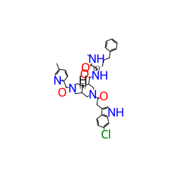 CNC(=O)[C@H](CCCc1ccccc1)NC(=O)C1CN(C(=O)Cc2c[nH]c3cc(Cl)ccc23)CC2CN(C(=O)c3ccc(C)cn3)C[C@@H]21